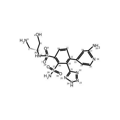 NC[C@H](CO)NS(=O)(=O)c1ccc(-c2ccnc(N)c2)c(-c2nn[nH]n2)c1S(N)(=O)=O